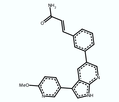 COc1ccc(-c2c[nH]c3ncc(-c4cccc(C=CC(N)=O)c4)cc23)cn1